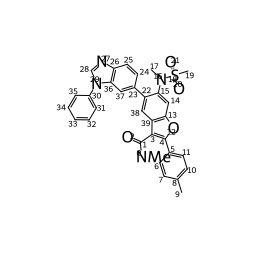 CNC(=O)c1c(-c2ccc(C)cc2)oc2cc(N(C)S(C)(=O)=O)c(-c3ccc4ncn(-c5ccccc5)c4c3)cc12